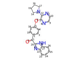 O=C(c1ccc(Oc2nccnc2N2CCCC2)cc1)c1nc2ccccc2[nH]1